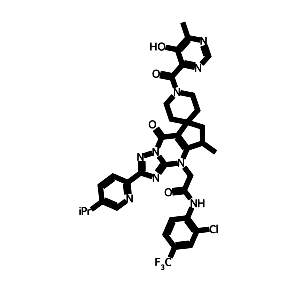 Cc1ncnc(C(=O)N2CCC3(CC2)CC(C)c2c3c(=O)n3nc(-c4ccc(C(C)C)cn4)nc3n2CC(=O)Nc2ccc(C(F)(F)F)cc2Cl)c1O